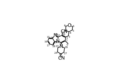 Cc1c(CC2CCOCC2)c(C#N)c2nc3ccccc3n2c1N1CCC(C#N)CC1